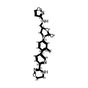 O=C1OC(CNc2ccon2)CN1c1ccc(-c2ccc(C3=NOCCN3)nc2)c(F)c1